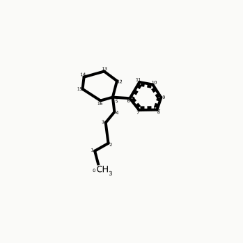 CCCCCC1(c2c[c]ccc2)CCCCC1